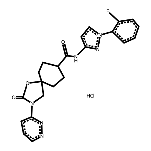 Cl.O=C(Nc1ccn(-c2ccccc2F)n1)C1CCC2(CC1)CN(c1cccnn1)C(=O)O2